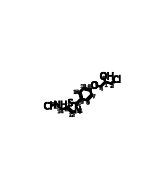 OC(CCl)COc1ccc(-c2ncc(CNCl)s2)cc1